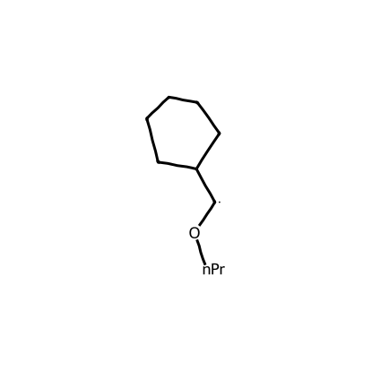 CCCO[CH]C1CCCCC1